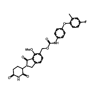 COc1c(COC(=O)Nc2ccc(Oc3ccc(F)cc3C)cc2)ccc2c1C(=O)N(C1CCC(=O)NC1=O)C2